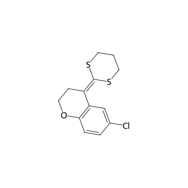 Clc1ccc2c(c1)C(=C1SCCCS1)CCO2